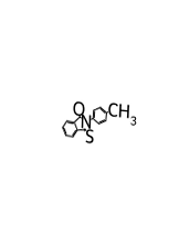 Cc1ccc(N2C(=O)c3ccccc3C2=S)cc1